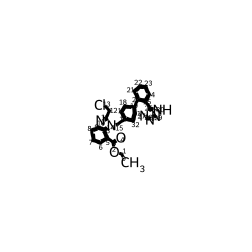 CCOC(=O)c1cccc2nc(CCl)n(Cc3ccc(-c4ccccc4-c4nnn[nH]4)cc3)c12